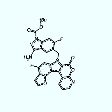 CC(C)(C)OC(=O)n1nc(N)c2cc(Cn3c4cc(F)c5ccoc5c4c4c5cccnc5oc(=O)c43)c(F)cc21